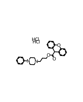 Cl.Cl.O=C(OCCCN1CCN(c2ccccc2)CC1)C1c2ccccc2Oc2ccccc21